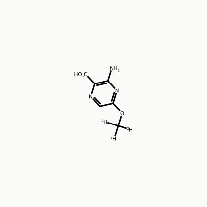 [2H]C([2H])([2H])Oc1cnc(C(=O)O)c(N)n1